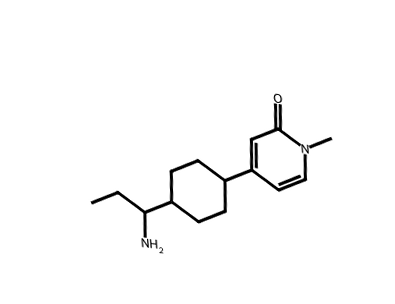 CCC(N)C1CCC(c2ccn(C)c(=O)c2)CC1